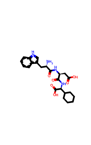 N[C@@H](Cc1c[nH]c2ccccc12)C(=O)N[C@@H](CC(=O)O)C(=O)N[C@H](C(=O)O)C1CCCCC1